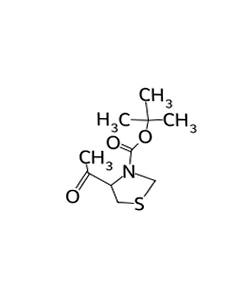 CC(=O)C1CSCN1C(=O)OC(C)(C)C